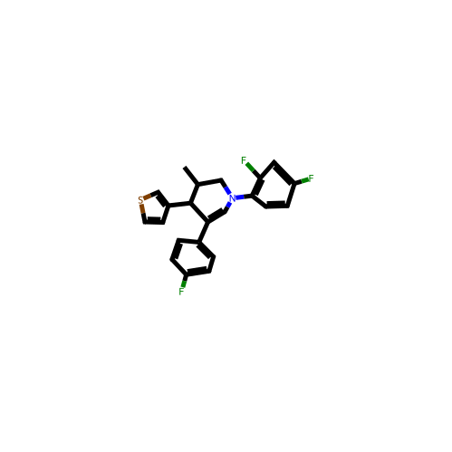 CC1CN(c2ccc(F)cc2F)C=C(c2ccc(F)cc2)C1c1ccsc1